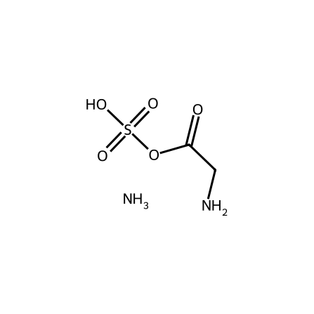 N.NCC(=O)OS(=O)(=O)O